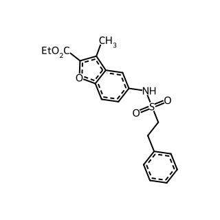 CCOC(=O)c1oc2ccc(NS(=O)(=O)CCc3ccccc3)cc2c1C